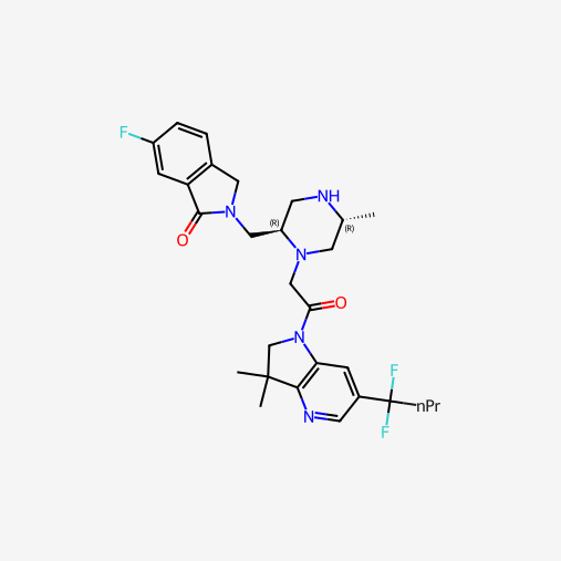 CCCC(F)(F)c1cnc2c(c1)N(C(=O)CN1C[C@@H](C)NC[C@@H]1CN1Cc3ccc(F)cc3C1=O)CC2(C)C